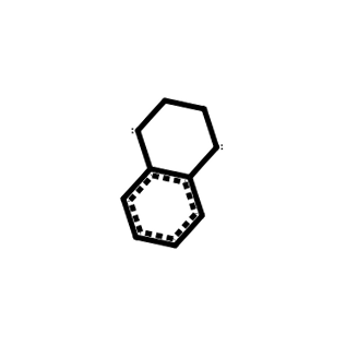 [C]1CC[C]c2ccccc21